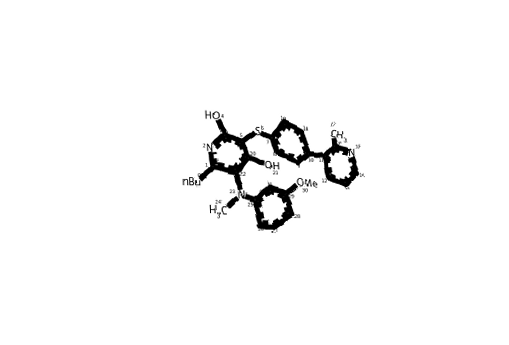 CCCCc1nc(O)c(Sc2ccc(-c3cccnc3C)cc2)c(O)c1N(C)c1cccc(OC)c1